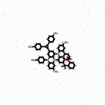 CC(C)(C)c1ccc(C2C(c3ccc(C(C)(C)C)cc3)C2c2cc3c4c(c2)N(c2ccc(C(C)(C)C)cc2-c2ccccc2)c2cc5c(cc2B4c2cc(C(C)(C)C)ccc2N3c2ccc(C(C)(C)C)cc2)C(C)(C)c2ccccc2C5(C)C)cc1